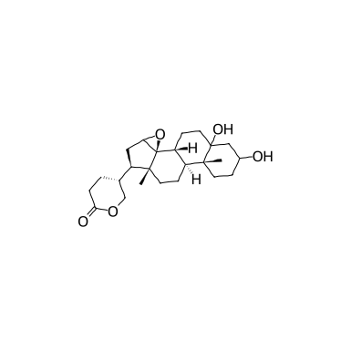 C[C@]12CCC(O)CC1(O)CC[C@@H]1[C@@H]2CC[C@]2(C)[C@@H]([C@H]3CCC(=O)OC3)CC3O[C@@]312